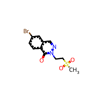 CS(=O)(=O)CCn1ncc2cc(Br)ccc2c1=O